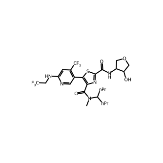 CCCC(CCC)N(C)C(=O)c1nc(C(=O)NC2COCC2O)sc1-c1cnc(NCC(F)(F)F)cc1C(F)(F)F